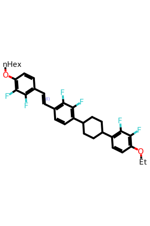 CCCCCCOc1ccc(/C=C/c2ccc(C3CCC(c4ccc(OCC)c(F)c4F)CC3)c(F)c2F)c(F)c1F